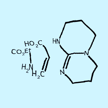 C1CN=C2NCCCN2C1.C=CC(=O)O.CCOC(N)=O